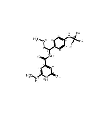 CNc1nc(C(=O)NC(COC)c2ccc(OC(F)(F)F)cc2)cc(=O)[nH]1